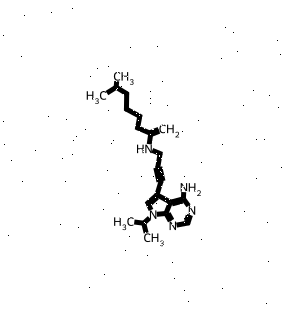 C=C(CCCCC(C)C)NCC#Cc1cn(C(C)C)c2ncnc(N)c12